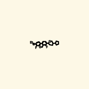 CCOc1ccc2c(c1F)OCc1c-2ccc(C2CCC(C3CCCC3)CO2)c1F